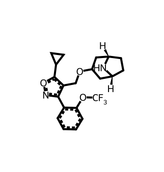 FC(F)(F)Oc1ccccc1-c1noc(C2CC2)c1COC1C[C@H]2CC[C@@H](C1)N2